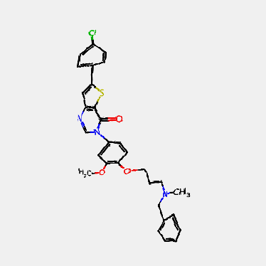 COc1cc(-n2cnc3cc(-c4ccc(Cl)cc4)sc3c2=O)ccc1OCCCN(C)Cc1ccccc1